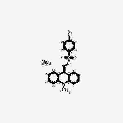 CN1c2ccccc2C(=COS(=O)(=O)c2ccc(Cl)cc2)c2ccccc21.[Na].[Na]